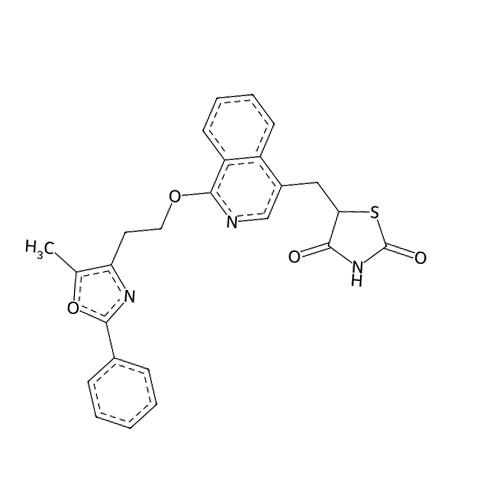 Cc1oc(-c2ccccc2)nc1CCOc1ncc(CC2SC(=O)NC2=O)c2ccccc12